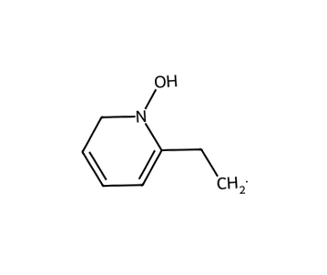 [CH2]CC1=CC=CCN1O